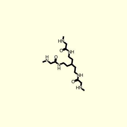 CNCC(=O)NCCC(CCNC(=O)CNC)CCNC(=O)CNC